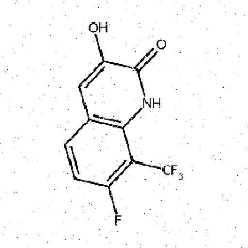 O=c1[nH]c2c(C(F)(F)F)c(F)ccc2cc1O